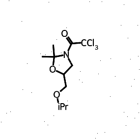 CC(C)OCC1CN(C(=O)C(Cl)(Cl)Cl)C(C)(C)O1